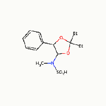 CCC1(CC)OC(c2ccccc2)C(N(C)S(=O)(=O)O)O1